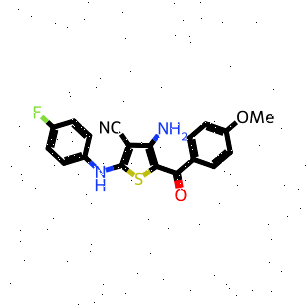 COc1ccc(C(=O)c2sc(Nc3ccc(F)cc3)c(C#N)c2N)cc1